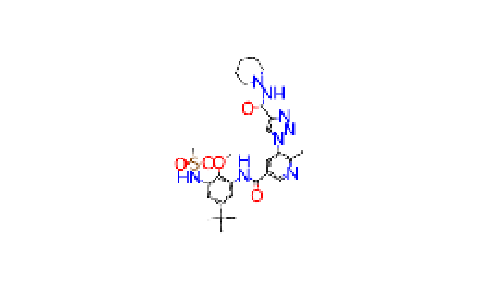 COc1c(NC(=O)c2cnc(C)c(-n3cc(C(=O)NN4CCCCC4)nn3)c2)cc(C(C)(C)C)cc1NS(C)(=O)=O